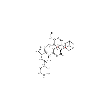 CC(C)Oc1ccc(CN2C3CC2CN(c2ccc(-c4cc(N5CCOCC5)cn5ncc(C#N)c45)cn2)C3)cn1